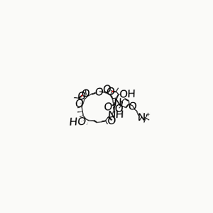 CO[C@H]1/C=C/O[C@@]2(C)Oc3c(C)c(O)c4c(=O)c(c5oc6cc(OCCC[N+](C)(C)C(C)(C)C)ccc6nc-5c4c3C2=O)NC(=O)/C(C)=C\C=C\[C@H](C)[C@H](O)[C@@H](C)[C@@H](C)[C@@H](C)[C@H](OC(C)=O)[C@@H]1C